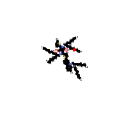 CCCCCCCCC(CCCCCC)CN1C(=O)C2=C(c3ccc(-c4ccc5c6ccc(C)cc6n(CC(CCCCCC)CCCCCCCC)c5c4)s3)N(CC(CCCCCC)CCCCCCCC)C(=O)C2=C1c1ccc(C)s1